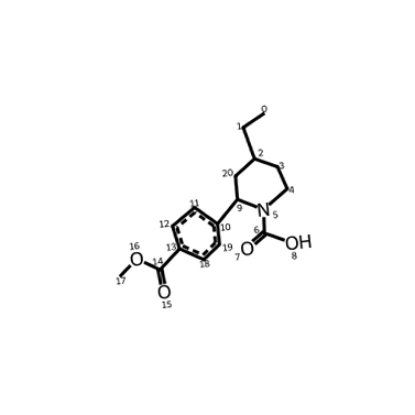 CCC1CCN(C(=O)O)C(c2ccc(C(=O)OC)cc2)C1